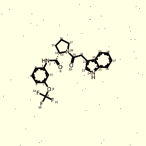 O=C(Nc1cccc(OC(F)(F)F)c1)[C@@H]1CCCN1C(=O)Cc1c[nH]c2ccccc12